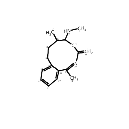 C=C1CC(NC)C(C)CCc2ccccc2/C(C)=N\1